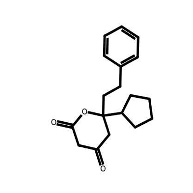 O=C1CC(=O)OC(CCc2ccccc2)(C2CCCC2)C1